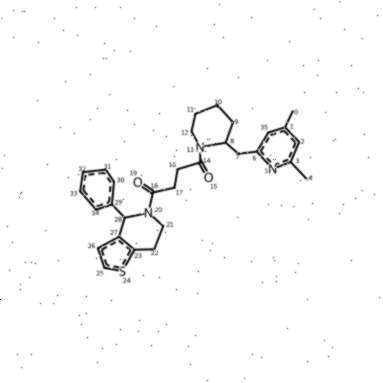 Cc1cc(C)nc(CC2CCCCN2C(=O)CCC(=O)N2CCc3sccc3C2c2ccccc2)c1